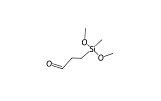 CO[Si](C)(CCC=O)OC